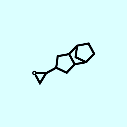 C1CC2CC1C1CC(C3CO3)CC21